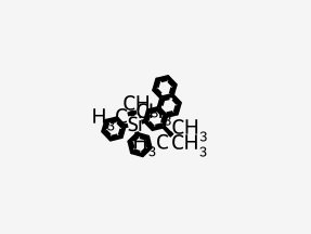 CC(C)(C)c1cc([Si](c2ccccc2)(c2ccccc2)C(C)(C)C)cc2c1ccc1ccccc12